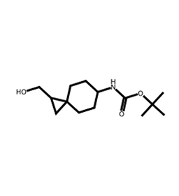 CC(C)(C)OC(=O)NC1CCC2(CC1)CC2CO